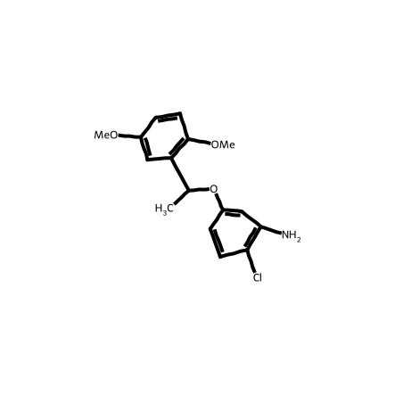 COc1ccc(OC)c(C(C)Oc2ccc(Cl)c(N)c2)c1